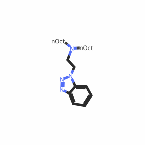 CCCCCCCCN(CCCCCCCC)CCn1nnc2ccccc21